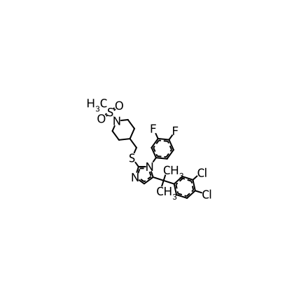 CC(C)(c1ccc(Cl)c(Cl)c1)c1cnc(SCC2CCN(S(C)(=O)=O)CC2)n1-c1ccc(F)c(F)c1